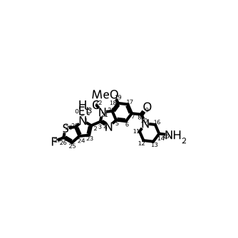 CCn1c(-c2nc3cc(C(=O)N4CCCC(N)C4)cc(OC)c3n2C)cc2cc(F)sc21